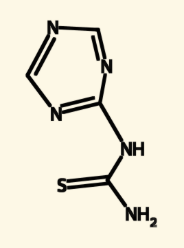 NC(=S)Nc1ncncn1